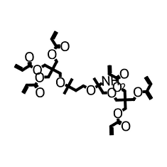 C=CC(=C)OCC(COCC(C)(N)OCCC(C)(C)OCC(COC(=O)C=C)(COC(=O)C=C)COC(=O)C=C)(COC(=O)C=C)COC(=O)C=C